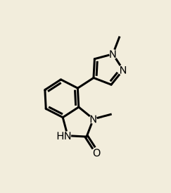 Cn1cc(-c2cccc3[nH]c(=O)n(C)c23)cn1